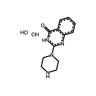 Cl.Cl.O=c1[nH]c(N2CCNCC2)nc2ccccc12